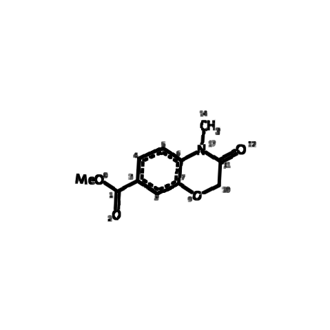 COC(=O)c1ccc2c(c1)OCC(=O)N2C